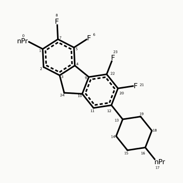 CCCc1cc2c(c(F)c1F)-c1c(cc(C3CCC(CCC)CC3)c(F)c1F)C2